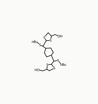 CCCCSC(C1CCC(C(SCCCC)C2SCC(CO)S2)CC1)C1SCC(CO)S1